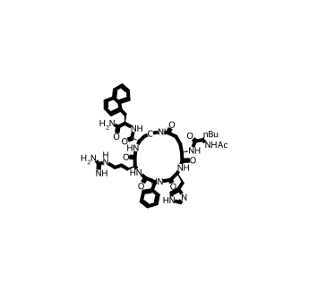 CCCC[C@H](NC(C)=O)C(=O)N[C@H]1CCC(=O)NCC[C@@H](C(=O)N[C@H](Cc2cccc3ccccc23)C(N)=O)NC(=O)[C@H](CCCNC(=N)N)NC(=O)C(c2ccccc2)NC(=O)[C@H](Cc2c[nH]cn2)NC1=O